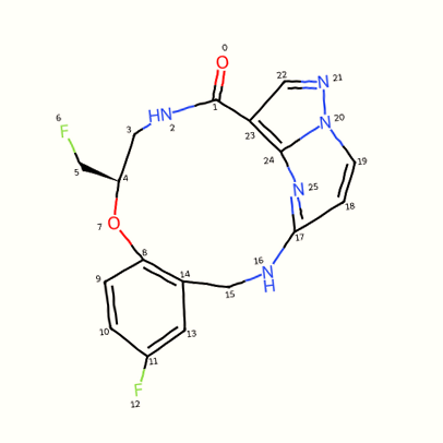 O=C1NC[C@H](CF)Oc2ccc(F)cc2CNc2ccn3ncc1c3n2